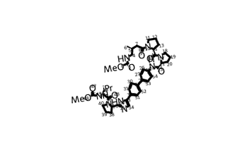 COC(=O)NC[C@@H](C)CC(=O)N1CCC[C@H]1C(=O)N1CCC[C@H]1C(=O)Nc1ccc(-c2ccc(-c3cnc(C4CCCN4C(=O)[C@@H](NC(=O)OC)C(C)C)[nH]3)cc2)cc1